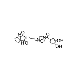 O=C(c1ccc(O)c(O)c1)N1CCN(CCCCN2C(=O)[C@@H]3C4CCC(C4)[C@@H]3C2=O)CC1